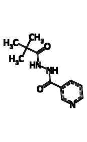 CC(C)(C)C(=O)NNC(=O)c1cccnc1